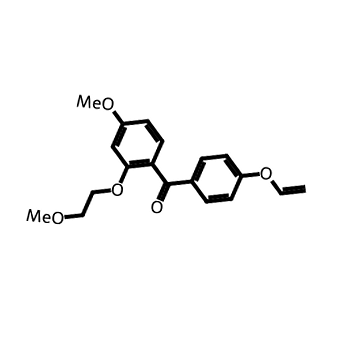 C=COc1ccc(C(=O)c2ccc(OC)cc2OCCOC)cc1